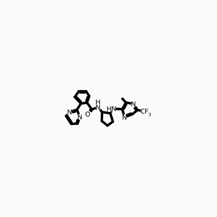 Cc1nc(C(F)(F)F)cnc1N[C@H]1CCCC1NC(=O)c1ccccc1-c1ncccn1